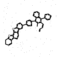 C=C/C=C\c1c(C)c(-c2ccc(-c3ccc4oc5c(ccc6c7c(oc65)CCC=C7)c4c3)cc2)c2ccccc2c1-c1ccccc1